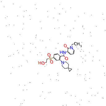 CCn1cccc(NC(=O)c2ccc(S(=O)(=O)CCO)cc2N2CCC3(CC2)CC3)c1=O